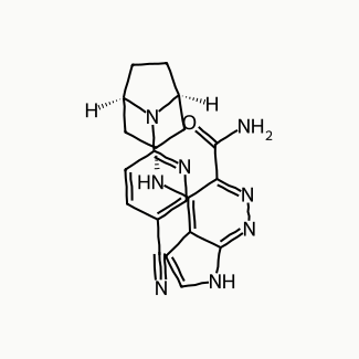 N#Cc1ccc(N2[C@@H]3CC[C@H]2C[C@H](Nc2c(C(N)=O)nnc4[nH]ccc24)C3)nc1